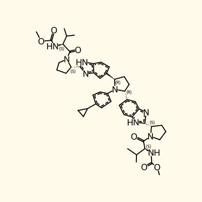 COC(=O)N[C@H](C(=O)N1CCC[C@H]1c1nc2cc([C@H]3CC[C@H](c4ccc5[nH]c([C@@H]6CCCN6C(=O)[C@@H](NC(=O)OC)C(C)C)nc5c4)N3c3ccc(C4CC4)cc3)ccc2[nH]1)C(C)C